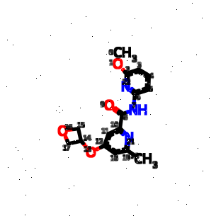 COc1cccc(NC(=O)c2cc(OC3COC3)cc(C)n2)n1